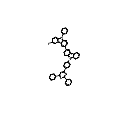 Fc1ccc2c(c1)c1cc(-c3ccc4c(c3)c3ccccc3n4-c3ccc(-c4cc(-c5ccccc5)nc(-c5ccccc5)n4)cc3)ccc1n2-c1ccccc1